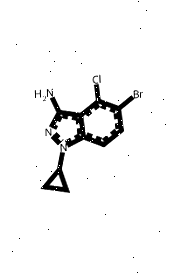 Nc1nn(C2CC2)c2ccc(Br)c(Cl)c12